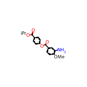 COc1ccc(C(=O)Oc2ccc(C(=O)OC(C)C)cc2)cc1N